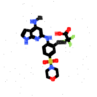 CCNc1cc(Nc2ccc(S(=O)(=O)N3CCOCC3)cc2OC)nc2[nH]ccc12.O=C(O)C(F)(F)F